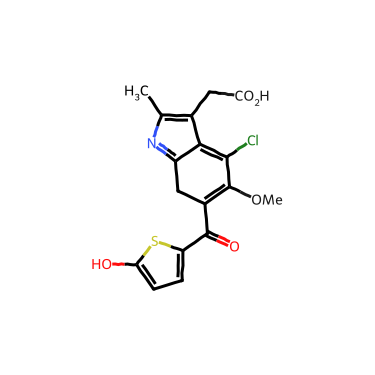 COC1=C(C(=O)c2ccc(O)s2)CC2=NC(C)=C(CC(=O)O)C2=C1Cl